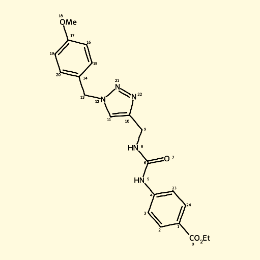 CCOC(=O)c1ccc(NC(=O)NCc2cn(Cc3ccc(OC)cc3)nn2)cc1